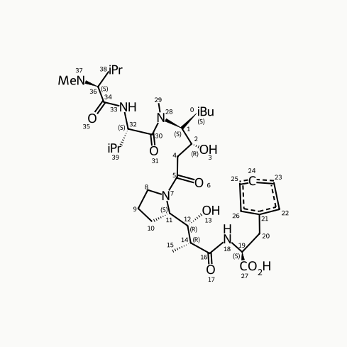 CC[C@H](C)[C@@H]([C@H](O)CC(=O)N1CCC[C@H]1[C@H](O)[C@@H](C)C(=O)N[C@@H](Cc1ccccc1)C(=O)O)N(C)C(=O)[C@@H](NC(=O)[C@@H](NC)C(C)C)C(C)C